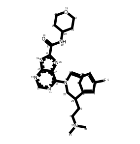 CC\C1=C/C(F)=C\C=C\N(c2ncnc3sc(C(=O)NC4CCOCC4)nc23)CC1CCN(C)C